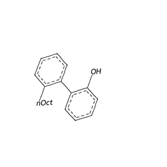 CCCCCCCCc1ccccc1-c1ccccc1O